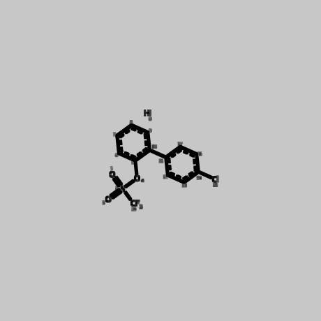 I.O=S(=O)(Oc1ccccc1-c1ccc(Cl)cc1)C(F)(F)F